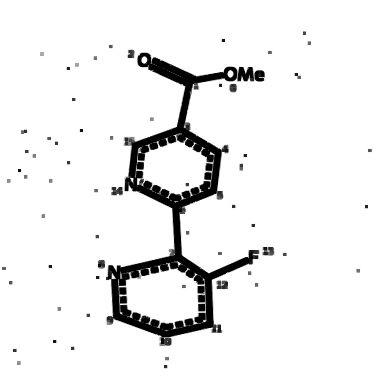 COC(=O)c1ccc(-c2ncccc2F)nc1